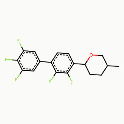 CC1CCC(c2ccc(-c3cc(F)c(F)c(F)c3)c(F)c2F)OC1